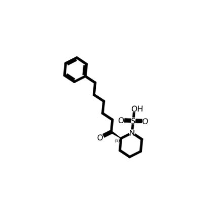 O=C(CCCCCc1ccccc1)[C@@H]1CCCCN1S(=O)(=O)O